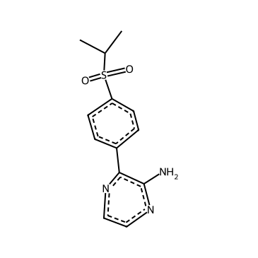 CC(C)S(=O)(=O)c1ccc(-c2nccnc2N)cc1